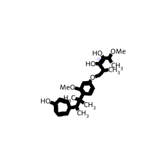 COc1cc(OCC(C)/C(O)=C(/O)C(C)OC)ccc1C(C)(C)C(C)C1C=CC=C(O)C=C1